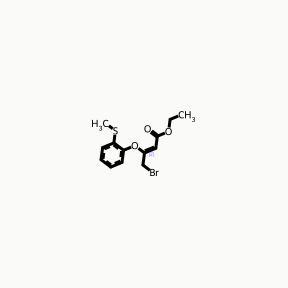 CCOC(=O)/C=C(/CBr)Oc1ccccc1SC